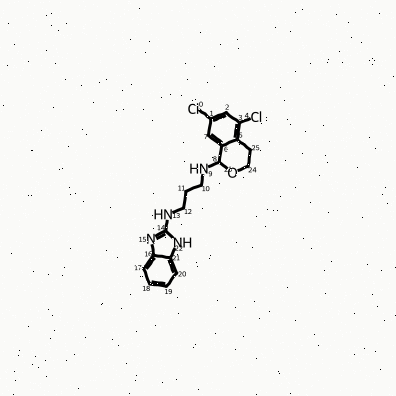 Clc1cc(Cl)c2c(c1)C(NCCCNc1nc3ccccc3[nH]1)OCC2